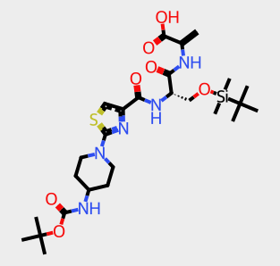 C=C(NC(=O)[C@H](CO[Si](C)(C)C(C)(C)C)NC(=O)c1csc(N2CCC(NC(=O)OC(C)(C)C)CC2)n1)C(=O)O